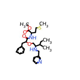 CCC(C)C(COC(Cc1ccccc1)C(=O)NC(CCSC)C(=O)OC)NCc1cccnc1